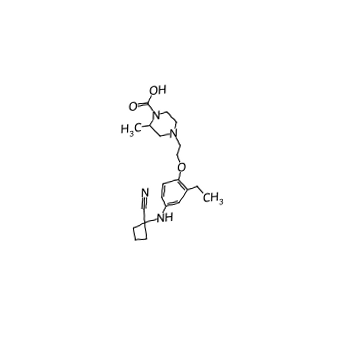 CCc1cc(NC2(C#N)CCC2)ccc1OCCN1CCN(C(=O)O)C(C)C1